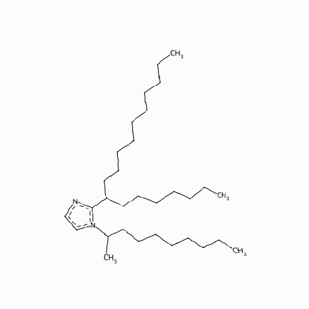 CCCCCCCCCCC(CCCCCCC)c1nccn1C(C)CCCCCCCC